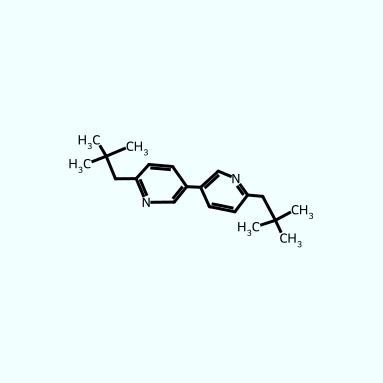 CC(C)(C)Cc1ccc(-c2ccc(CC(C)(C)C)nc2)cn1